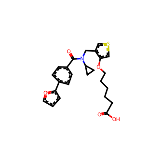 O=C(O)CCCCCOc1cscc1CN(C(=O)c1ccc(-c2ccco2)cc1)C1CC1